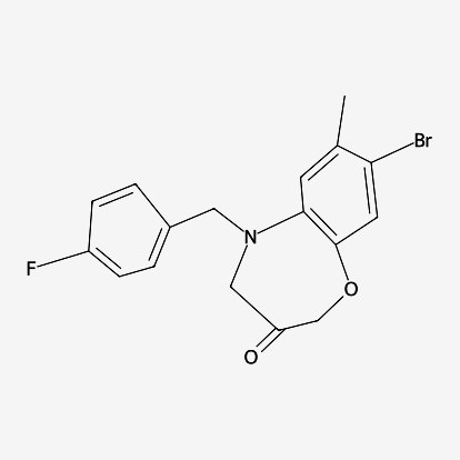 Cc1cc2c(cc1Br)OCC(=O)CN2Cc1ccc(F)cc1